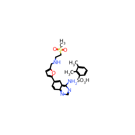 CS(=O)(=O)CCNCc1ccc(-c2ccc3ncnc(N)c3c2)o1.Cc1cccc(S(=O)(=O)O)c1C